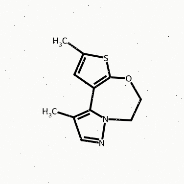 Cc1cc2c(s1)OCCn1ncc(C)c1-2